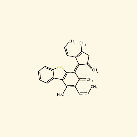 C=C1CC(C)=C(/C=C\C)/C1=c1/c(=C)c(/C=C\C)c(C)c2c1sc1ccccc12